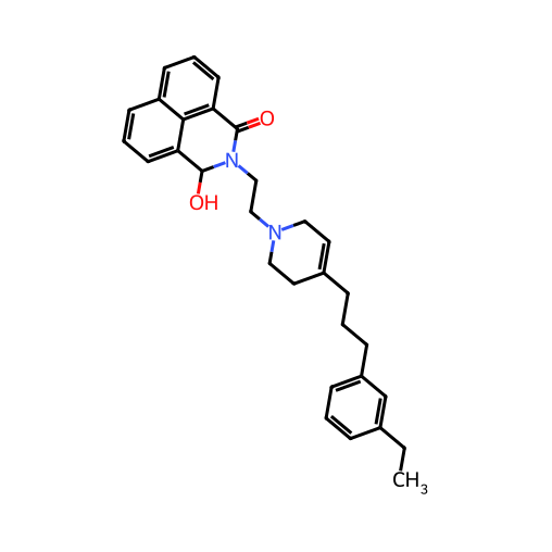 CCc1cccc(CCCC2=CCN(CCN3C(=O)c4cccc5cccc(c45)C3O)CC2)c1